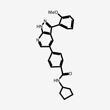 COc1ccccc1-c1n[nH]c2ncc(-c3ccc(C(=O)NC4CCCC4)cc3)cc12